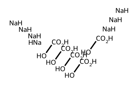 O=C(O)O.O=C(O)O.O=C(O)O.O=C(O)O.O=C(O)O.[NaH].[NaH].[NaH].[NaH].[NaH].[NaH].[NaH]